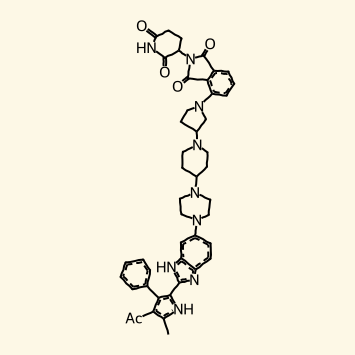 CC(=O)c1c(C)[nH]c(-c2nc3ccc(N4CCN(C5CCN(C6CCN(c7cccc8c7C(=O)N(C7CCC(=O)NC7=O)C8=O)C6)CC5)CC4)cc3[nH]2)c1-c1ccccc1